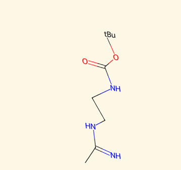 CC(=N)NCCNC(=O)OC(C)(C)C